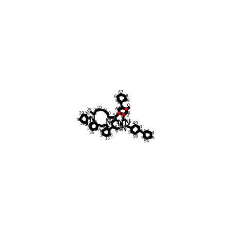 C=C\C=C/C=C\C(=C(\C(=C/C)c1ccccc1)N1C(=C)/C=C\C=C/C(C)N(c2ccccc2)c2ccccc2CC1=C)N(C)/C(=N\C(=N)c1ccc(-c2ccccc2)cc1)c1ccc(-c2ccccc2)cc1